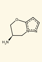 N[C@H]1COc2ccnn2C1